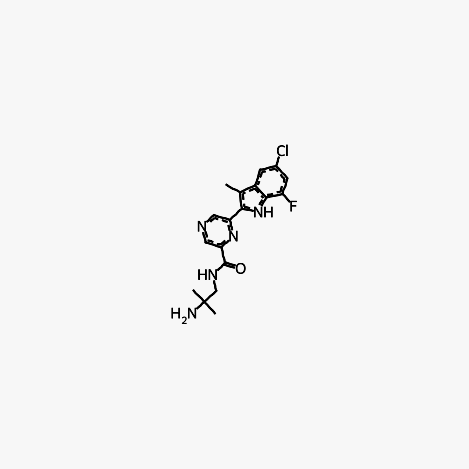 Cc1c(-c2cncc(C(=O)NCC(C)(C)N)n2)[nH]c2c(F)cc(Cl)cc12